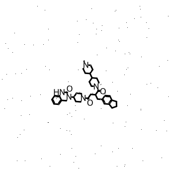 CN1CCC(C2CCN(C(=O)C(CC(=O)N3CCC(N4Cc5ccccc5NC4=O)CC3)Cc3ccc4c(c3)CCC4)CC2)CC1